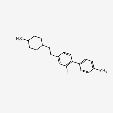 Cc1ccc(-c2ccc(CCC3CCC(C)CC3)cc2F)cc1